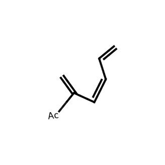 C=C/C=C\C(=C)C(C)=O